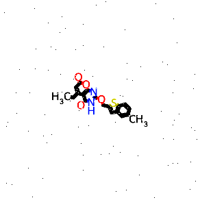 CCc1cc(=O)oc2nc(OCc3cc4cc(C)ccc4s3)[nH]c(=O)c12